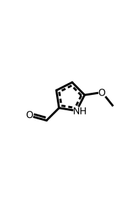 COc1ccc(C=O)[nH]1